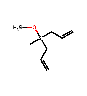 C=CC[Si](C)(CC=C)O[SiH3]